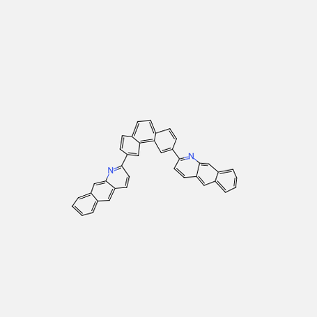 c1ccc2cc3nc(-c4ccc5ccc6ccc(-c7ccc8cc9ccccc9cc8n7)cc6c5c4)ccc3cc2c1